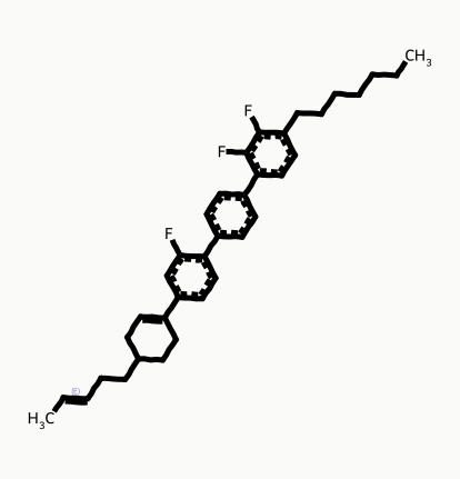 C/C=C/CCC1CC=C(c2ccc(-c3ccc(-c4ccc(CCCCCCC)c(F)c4F)cc3)c(F)c2)CC1